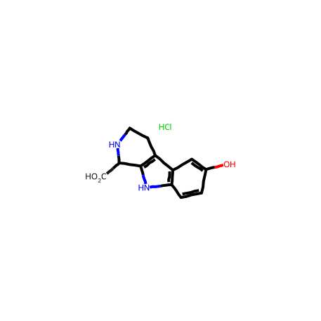 Cl.O=C(O)C1NCCc2c1[nH]c1ccc(O)cc21